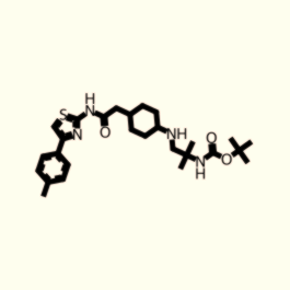 Cc1ccc(-c2csc(NC(=O)CC3CCC(NCC(C)(C)NC(=O)OC(C)(C)C)CC3)n2)cc1